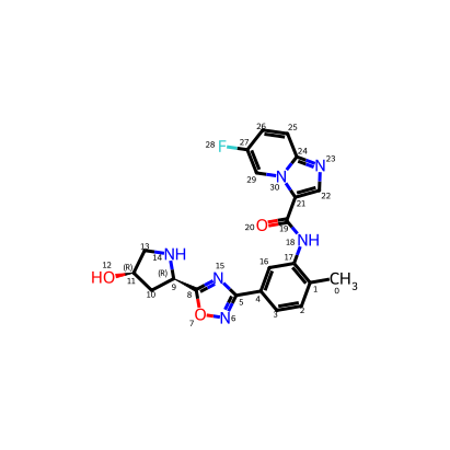 Cc1ccc(-c2noc([C@H]3C[C@@H](O)CN3)n2)cc1NC(=O)c1cnc2ccc(F)cn12